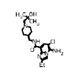 CCc1cn2c(N)c(Cl)cc(C(=O)NCC3CCN(CC(C)(C)O)CC3)c2n1